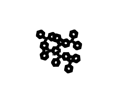 c1ccc(N(c2ccccc2)c2ccc3c(c2)c2ccccc2n3-c2cc(-n3c4ccccc4c4ccc(N(c5ccccc5)c5ccccc5)cc43)nc(N(c3ccccc3)c3ccc4c5ccccc5n(-c5ccccc5)c4c3)n2)cc1